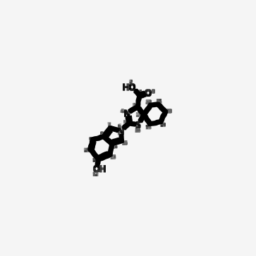 O=C(O)C1N=C(n2cc3ccc(O)cc3c2)SC12CCCCC2